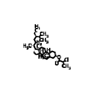 CC[C@H](CC[C@@H](C)[C@H]1CC[C@H]2[C@@H]3CC=C4C[C@@H](OC(=O)C(C)Cl)CC[C@]4(C)[C@H]3CC[C@]12C)C(C)C